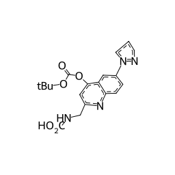 CC(C)(C)OC(=O)Oc1cc(CNC(=O)O)nc2ccc(-n3cccn3)cc12